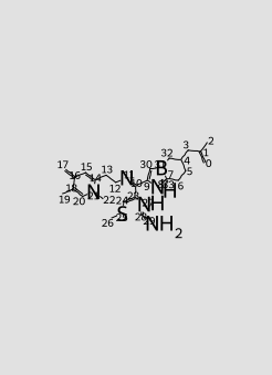 C=C(C)CC1CC[C@@H]2NC(C(=N/CCC3=CC(=C)C(C)=CN3C)/C(=C/SC)/N=C/N)=CB2C1